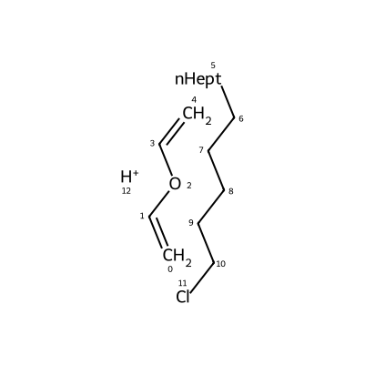 C=COC=C.CCCCCCCCCCCCCl.[H+]